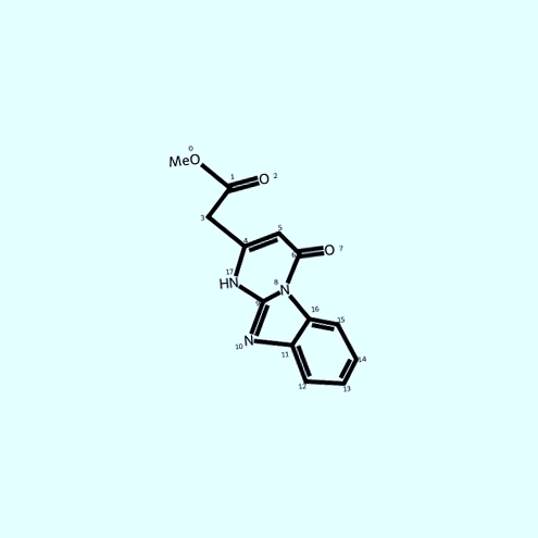 COC(=O)Cc1cc(=O)n2c(nc3ccccc32)[nH]1